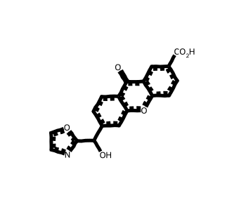 O=C(O)c1ccc2oc3cc(C(O)c4ncco4)ccc3c(=O)c2c1